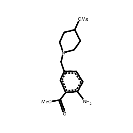 COC(=O)c1cc(CN2CCC(OC)CC2)ccc1N